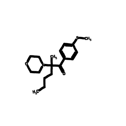 CCCCC(C)(C(=O)c1ccc(SC)cc1)N1CCOCC1